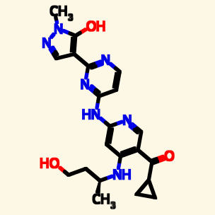 C[C@@H](CCO)Nc1cc(Nc2ccnc(-c3cnn(C)c3O)n2)ncc1C(=O)C1CC1